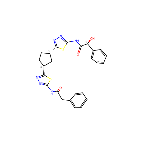 O=C(Cc1ccccc1)Nc1nnc([C@H]2CC[C@H](c3nnc(NC(=O)[C@@H](O)c4ccccc4)s3)C2)s1